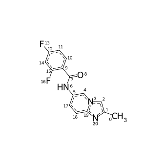 Cc1cn2cc(NC(=O)c3ccc(F)cc3F)ccc2n1